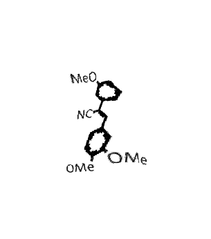 COc1cccc(C(C#N)=Cc2ccc(OC)c(OC)c2)c1